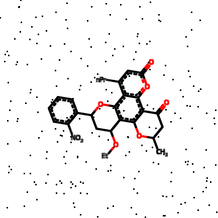 CCCc1cc(=O)oc2c3c(c4c(c12)OC(c1ccccc1[N+](=O)[O-])CC4OCC)OC(C)CC3=O